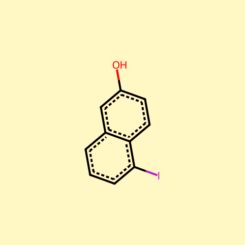 Oc1ccc2c(I)cccc2c1